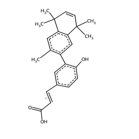 Cc1cc2c(cc1-c1cc(/C=C/C(=O)O)ccc1O)C(C)(C)C=CC2(C)C